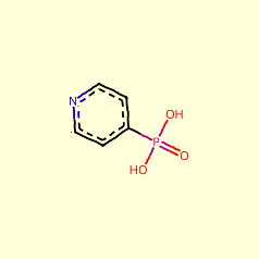 O=P(O)(O)c1c[c]ncc1